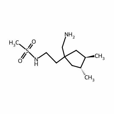 C[C@@H]1CC(CN)(CCNS(C)(=O)=O)C[C@H]1C